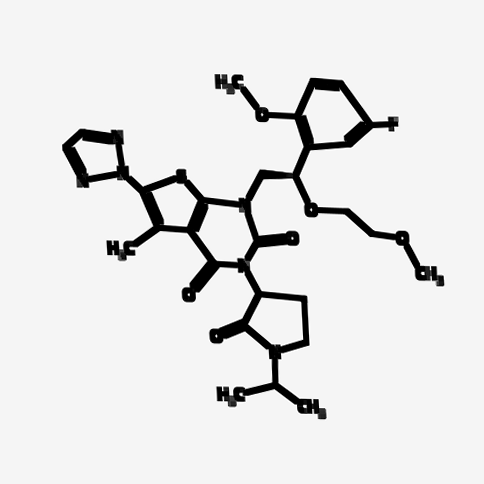 COCCO[C@@H](Cn1c(=O)n(C2CCN(C(C)C)C2=O)c(=O)c2c(C)c(-n3nccn3)sc21)c1cc(F)ccc1OC